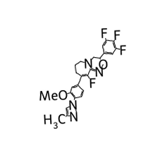 COc1cc(C2=C(F)C3=NOC(c4cc(F)c(F)c(F)c4)CN3CCC2)ccc1-n1cnc(C)c1